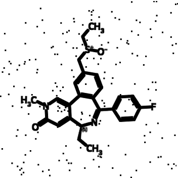 CC[C@@H]1N=C(c2ccc(F)cc2)c2ccc(C[S+]([O-])CC)cc2-c2cn(C)c(=O)cc21